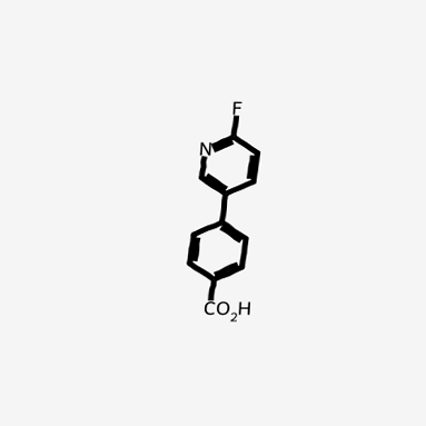 O=C(O)c1ccc(-c2ccc(F)nc2)cc1